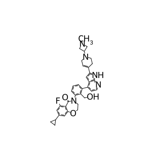 CN1CC(N2CC=C(c3cc4c(-c5cccc(N6CCOc7cc(C8CC8)cc(F)c7C6=O)c5CO)ccnc4[nH]3)CC2)C1